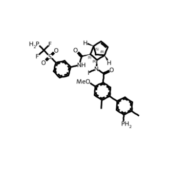 COc1cc(C)c(-c2ccc(C)c(P)c2)cc1C(=O)N(I)[C@H]1[C@@H](C(=O)Nc2cccc(S(=O)(=O)C(F)(F)P)c2)[C@@H]2C=C[C@H]1C2